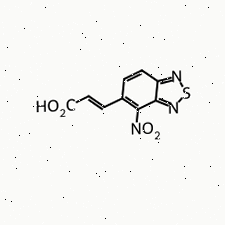 O=C(O)C=Cc1ccc2nsnc2c1[N+](=O)[O-]